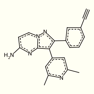 C#Cc1cccc(-c2nn3ccc(N)nc3c2-c2cc(C)nc(C)c2)c1